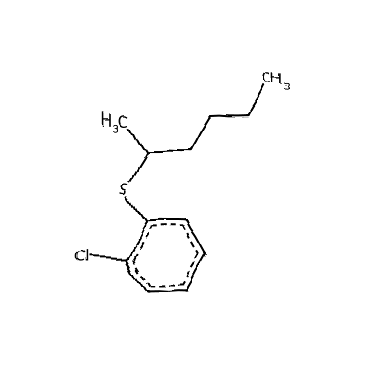 CCCCC(C)Sc1ccccc1Cl